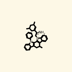 CC1C=C([C@@H](N)Cn2c3c(c4ccccc42)C(C)Cc2c-3n(-c3ccccc3)c3ccccc23)CC(C)C1